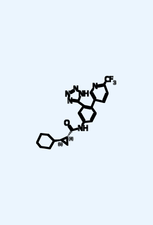 O=C(Nc1ccc(-c2ccc(C(F)(F)F)nc2)c(-c2nnn[nH]2)c1)[C@@H]1C[C@H]1C1CCCCC1